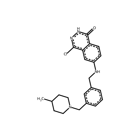 CC1CCN(Cc2cccc(CNc3ccc4c(=O)[nH]nc(Cl)c4c3)c2)CC1